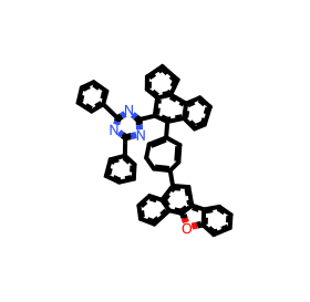 C1=CC(c2cc3c4ccccc4oc3c3ccccc23)=CCC=C1c1c(-c2nc(-c3ccccc3)nc(-c3ccccc3)n2)c2ccccc2c2ccccc12